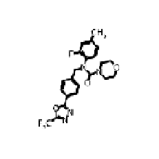 Cc1ccc(N(Cc2ccc(-c3nnc(C(F)(F)F)o3)cc2)C(=O)N2CCOCC2)c(F)c1